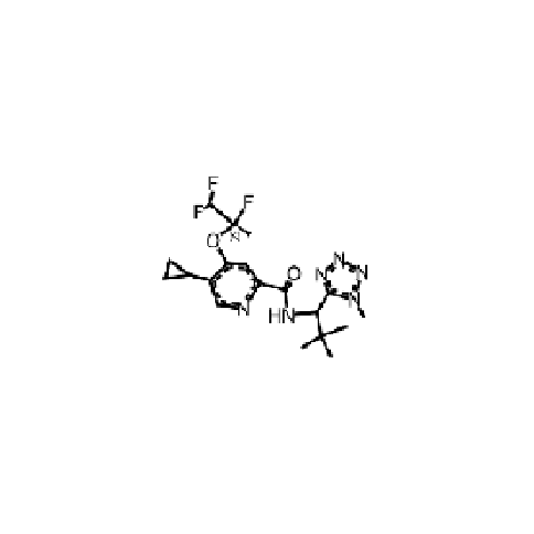 Cn1nnnc1C(NC(=O)c1cc(O[C@@](C)(F)C(F)F)c(C2CC2)cn1)C(C)(C)C